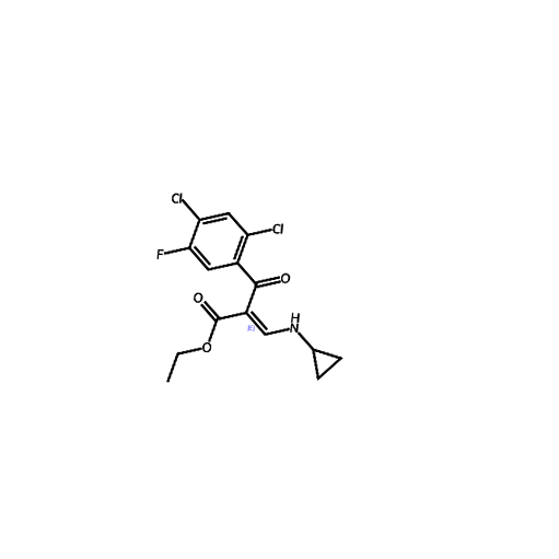 CCOC(=O)/C(=C/NC1CC1)C(=O)c1cc(F)c(Cl)cc1Cl